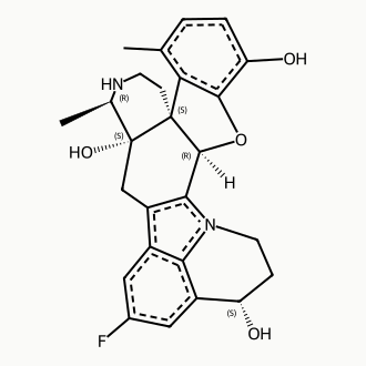 Cc1ccc(O)c2c1[C@]13CCN[C@H](C)[C@]1(O)Cc1c(n4c5c(cc(F)cc15)[C@@H](O)CC4)[C@@H]3O2